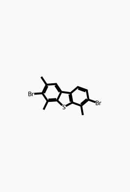 Cc1cc2c(sc3c(C)c(Br)ccc32)c(C)c1Br